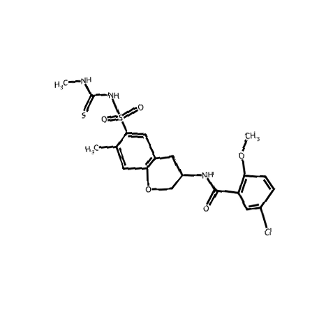 CNC(=S)NS(=O)(=O)c1cc2c(cc1C)OCC(NC(=O)c1cc(Cl)ccc1OC)C2